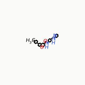 Cc1ccc(-c2ccc3c(c2)C=C(C(=O)Nc2ccc(CNc4ccccn4)cc2)CCO3)cc1